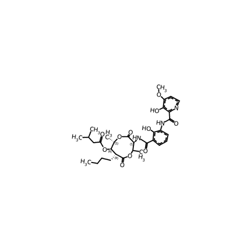 CCCC[C@H]1C(=O)OC(C)[C@H](NC(=O)c2cccc(NC(=O)c3nccc(OC)c3O)c2O)C(=O)O[C@@H](C)[C@@H]1OC(=O)CC(C)C